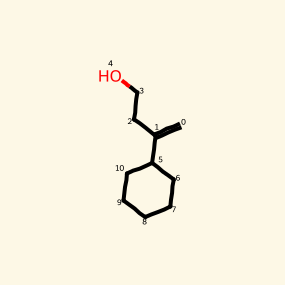 C=C(CCO)C1CCCCC1